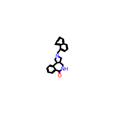 O=C1NCC2CN(Cc3cccc4ccccc34)CC2c2ccccc21